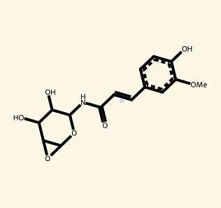 COc1cc(/C=C/C(=O)NC2OC3OC3C(O)C2O)ccc1O